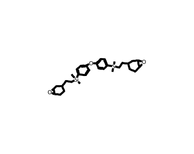 C[Si](C)(CCC1CCC2OC2C1)c1ccc(Oc2ccc(S(C)(C)CCC3CCC4OC4C3)cc2)cc1